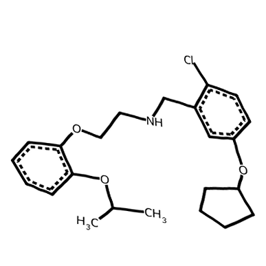 CC(C)Oc1ccccc1OCCNCc1cc(OC2CCCC2)ccc1Cl